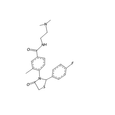 Cc1cc(C(=O)NCCN(C)C)ccc1N1C(=O)CSC1c1ccc(F)cc1